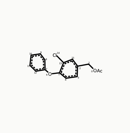 CC(=O)OCc1ccc(Oc2ccccc2)c(Cl)c1